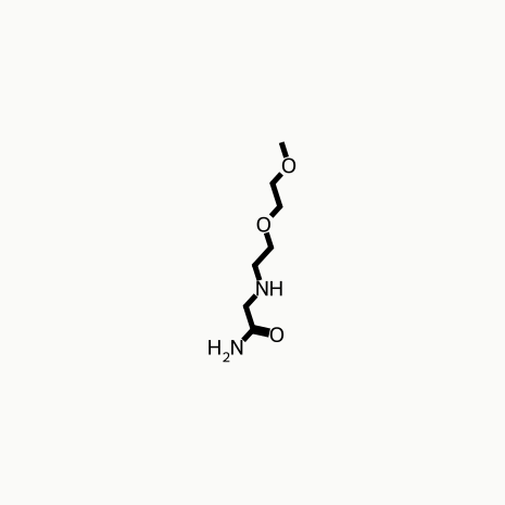 COCCOCCNCC(N)=O